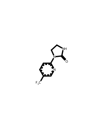 O=C1NCCN1c1ccc(C(F)(F)F)cn1